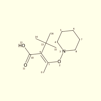 CC(ON1CCCCC1)=C(C(=O)O)C(C)(C)C